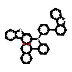 c1cc(-c2cccc3sc4ccccc4c23)cc(N(c2ccc3c(c2)oc2ccccc23)c2ccccc2-c2cccc3ccccc23)c1